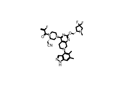 C=C(F)C(=O)N1CCN(c2nc(OC[C@@H]3CC(F)(F)CN3C)nc3c2CCN(c2c(C)c(C)cc4[nH]ncc24)C3)C[C@@H]1CC#N